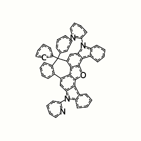 c1ccc(C2(c3ccccc3)c3ccccc3-c3cc4c(c5ccccc5n4-c4ccccn4)c4oc5c(c2cc2c5c5ccccc5n2-c2ccccn2)c34)cc1